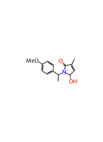 COc1ccc(C(C)N2C(=O)C(C)=CC2O)cc1